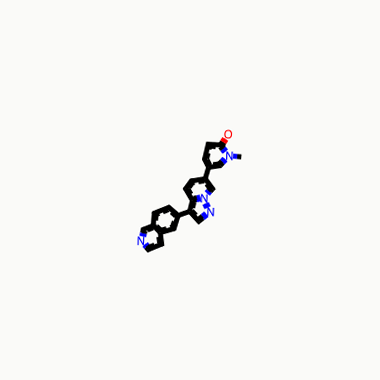 Cn1cc(-c2ccc3c(-c4ccc5cnccc5c4)cnn3c2)ccc1=O